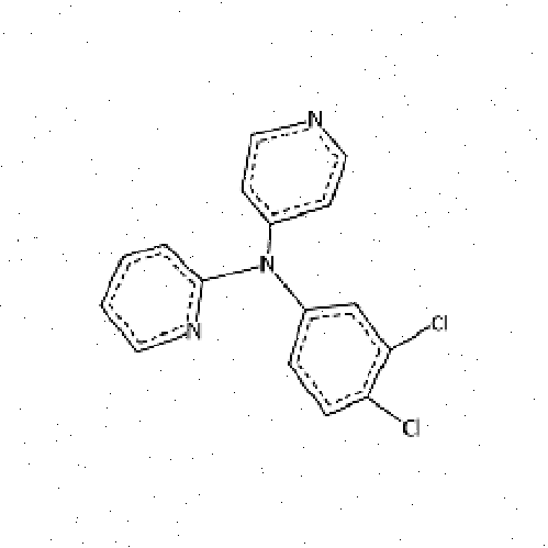 Clc1ccc(N(c2ccncc2)c2ccccn2)cc1Cl